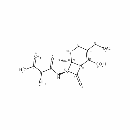 C=C(C)C(N)C(=O)N[C@@H]1C(=O)N2C(C(=O)O)=C(COC(C)=O)CS[C@H]12